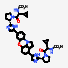 O=C(O)NC(C(=O)N1CCCC1c1ncc(-c2ccc3c4c2ccn4-c2ccc(-c4cnc([C@@H]5CCCN5C(=O)[C@@H](NC(=O)O)C5CC5)[nH]4)cc2O3)[nH]1)C1CC1